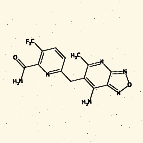 Cc1nc2nonc2c(N)c1Cc1ccc(C(F)(F)F)c(C(N)=O)n1